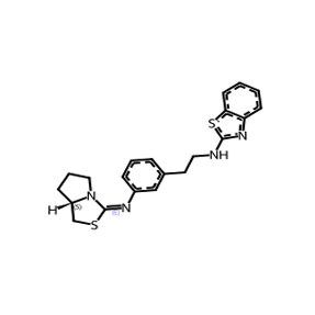 c1cc(CCNc2nc3ccccc3s2)cc(/N=C2/SC[C@@H]3CCCN23)c1